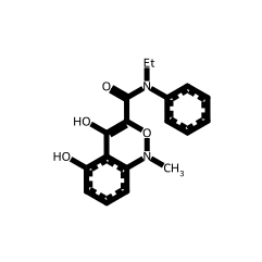 CCN(C(=O)C1=C(O)c2c(O)cccc2N(C)O1)c1ccccc1